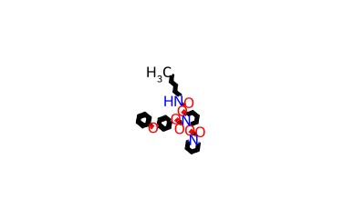 CCCCCCNC(=O)OC1CCCC(OC(=O)N2CCCCC2)N1C(=O)Oc1ccc(Oc2ccccc2)cc1